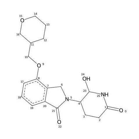 O=C1CCC(N2Cc3c(OCC4CCCOC4)cccc3C2=O)C(O)N1